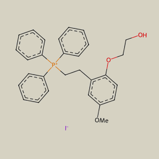 COc1ccc(OCCO)c(CC[P+](c2ccccc2)(c2ccccc2)c2ccccc2)c1.[I-]